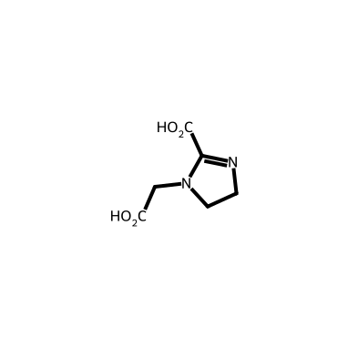 O=C(O)CN1CCN=C1C(=O)O